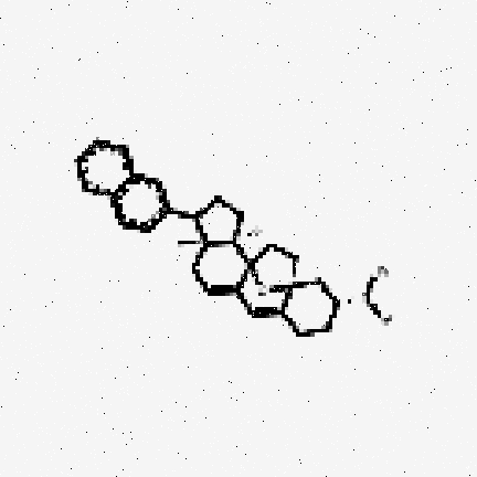 CCCN(CCC)[C@@H]1CCC2=CC3=CC[C@]4(C)C(c5ccc6ccccc6c5)CC[C@H]4C34CC[C@]2(C1)O4